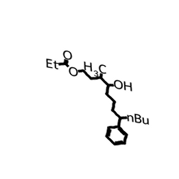 CCCCC(CCCC(O)C(C)CCOC(=O)CC)c1ccccc1